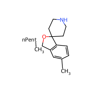 CCCCCC.Cc1ccc2c(c1)COC21CCNCC1